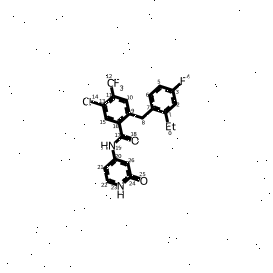 CCc1cc(F)ccc1Cc1cc(C(F)(F)F)c(Cl)cc1C(=O)Nc1cc[nH]c(=O)c1